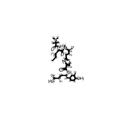 CC[C@H](C)[C@H](NC(=O)C(C)(C)N(C)C)C(=O)N(C)[C@@H](C)CCc1nc(C(=O)N[C@@H](Cc2ccc(O)c(C)c2)C[C@H](C)C(=O)O)cs1